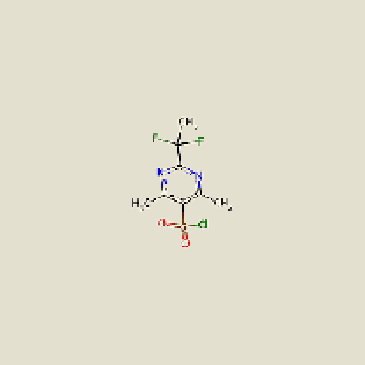 Cc1nc(C(C)(F)F)nc(C)c1S(=O)(=O)Cl